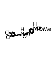 COOSNc1ccc(OCC(=O)NCCCc2ccc(Cl)c(Cl)c2)cc1